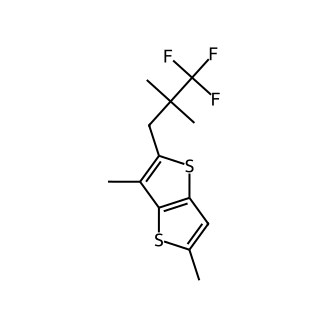 Cc1cc2sc(CC(C)(C)C(F)(F)F)c(C)c2s1